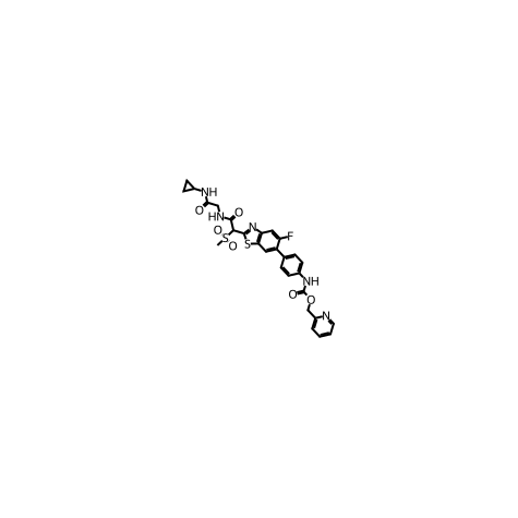 CS(=O)(=O)C(C(=O)NCC(=O)NC1CC1)c1nc2cc(F)c(-c3ccc(NC(=O)OCc4ccccn4)cc3)cc2s1